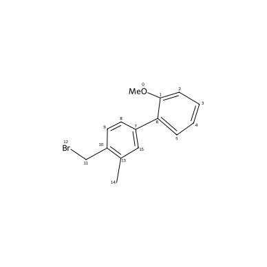 COc1ccccc1-c1ccc(CBr)c(C)c1